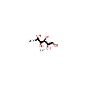 O=C([O-])C(O)C(O)C(O)C(O)CO.[Cs+]